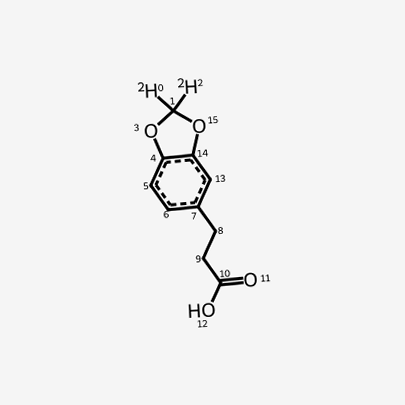 [2H]C1([2H])Oc2ccc(CCC(=O)O)cc2O1